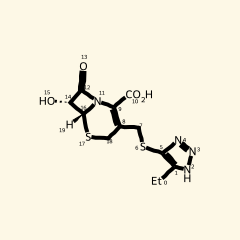 CCc1[nH]nnc1SCC1=C(C(=O)O)N2C(=O)[C@@H](O)[C@H]2SC1